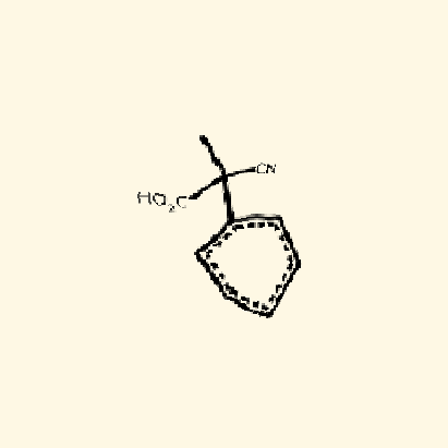 CC(C#N)(C(=O)O)c1ccccc1